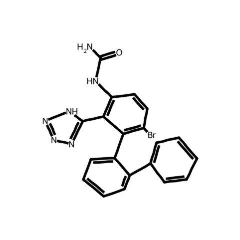 NC(=O)Nc1ccc(Br)c(-c2ccccc2-c2ccccc2)c1-c1nnn[nH]1